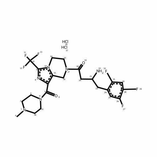 CN1CCN(C(=O)c2nc(C(F)(F)F)n3c2CN(C(=O)CC(N)Cc2cc(F)c(F)cc2F)CC3)CC1.Cl.Cl